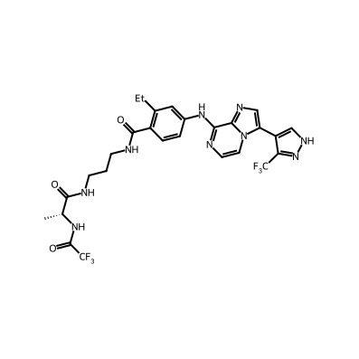 CCc1cc(Nc2nccn3c(-c4c[nH]nc4C(F)(F)F)cnc23)ccc1C(=O)NCCCNC(=O)[C@@H](C)NC(=O)C(F)(F)F